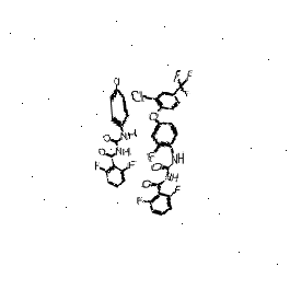 O=C(NC(=O)c1c(F)cccc1F)Nc1ccc(Cl)cc1.O=C(NC(=O)c1c(F)cccc1F)Nc1ccc(Oc2ccc(C(F)(F)F)cc2Cl)cc1F